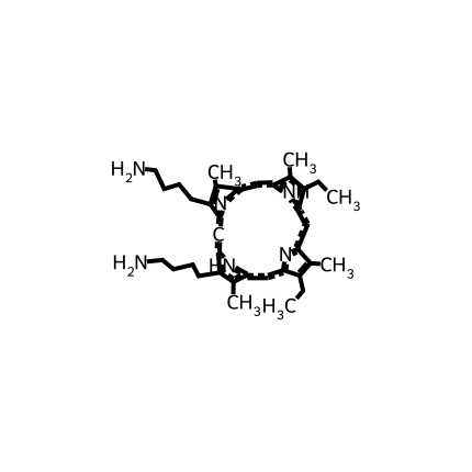 CCC1=C(C)c2cc3[nH]c(cc4nc(cc5[nH]c(cc1n2)c(C)c5CCCCN)C(CCCCN)=C4C)c(C)c3CC